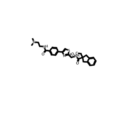 CN(C)CCNC(=O)c1ccc(-c2csc(CNC(=O)C3(CC(=O)O)Cc4ccccc4C3)n2)cc1